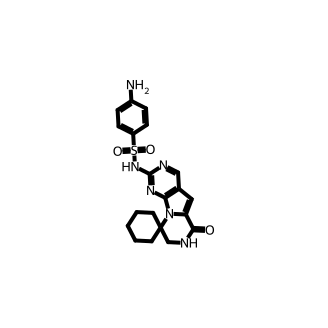 Nc1ccc(S(=O)(=O)Nc2ncc3cc4n(c3n2)C2(CCCCC2)CNC4=O)cc1